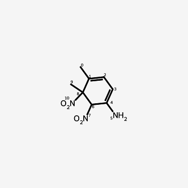 CC1=CC=C(N)C([N+](=O)[O-])C1(C)[N+](=O)[O-]